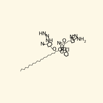 CCCCCCCCCCCCCCCCCCC[C@H](COP(=O)(OCC(C#N)(CCc1ccc2c(N)ncnn12)OC)Oc1ccccc1Cl)OCc1ccc(N/C=N\C=N)c(C#N)c1